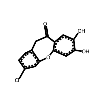 O=C1Cc2ccc(Cl)cc2Oc2cc(O)c(O)cc21